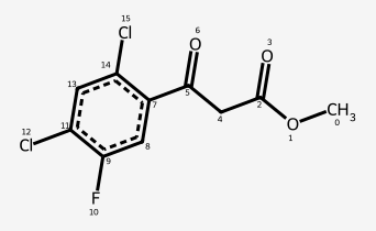 COC(=O)CC(=O)c1cc(F)c(Cl)cc1Cl